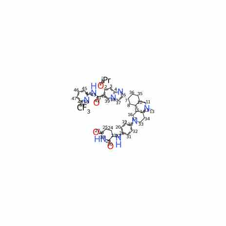 CC(C)Oc1cc2nc([C@H]3CC[C@H](CN(C)C4CCN(c5ccc(NC6CCC(=O)NC6=O)cc5)CC4)CC3)cn2cc1C(=O)Nc1cccc(C(F)(F)F)n1